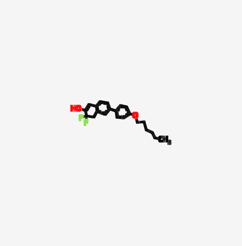 CCCCCCOc1ccc(-c2ccc3c(c2)CC(F)(F)C(O)=C3)cc1